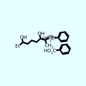 CCC(O)CCCC(O)C(C)C(C)(C)C.O=C(O)c1ccccc1.O=C(O)c1ccccc1